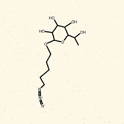 CC(O)C1OC(OCCCCCN=[N+]=[N-])C(O)C(O)C1O